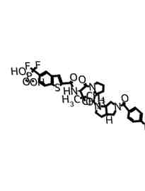 CC(C)(C)[C@H](NC(=O)c1cc2cc(C(F)(F)P(=O)(O)O)ccc2s1)C(=O)N1CCC[C@H]1C(=O)N1CC[C@@H]2CN(C(=O)c3ccc(F)cc3)C[C@@H]21